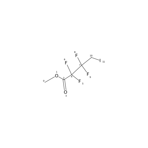 COC(=O)C(F)(F)C(F)(F)CI